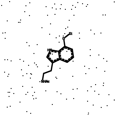 CCOc1cccc2c(CCNC(C)=O)c[nH]c12